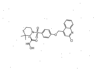 CC1(C)SCCN(S(=O)(=O)c2ccc(OCc3cc(Cl)nc4ccccc34)cc2)[C@H]1C(=O)NO